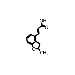 CC1Cc2c(C=CC(=O)O)cccc2O1